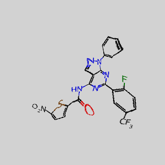 O=C(Nc1nc(-c2cc(C(F)(F)F)ccc2F)nc2c1cnn2-c1ccccc1)c1ccc([N+](=O)[O-])s1